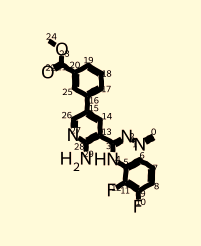 C=N/N=C(\Nc1cccc(F)c1F)c1cc(-c2cccc(C(=O)OC)c2)cnc1N